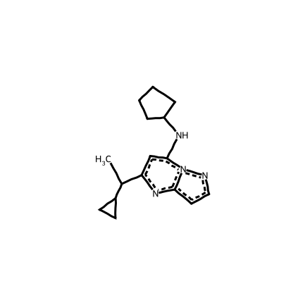 CC(c1cc(NC2CCCC2)n2nccc2n1)C1CC1